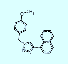 COc1ccc(Cn2cc(-c3cccc4ccccc34)nn2)cc1